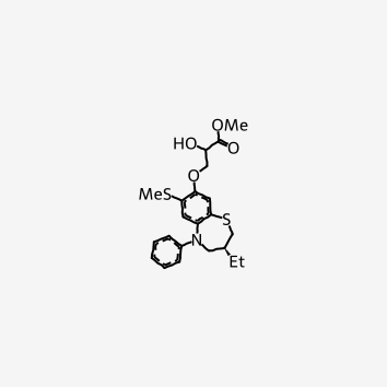 CC[C@@H]1CSc2cc(OCC(O)C(=O)OC)c(SC)cc2N(c2ccccc2)C1